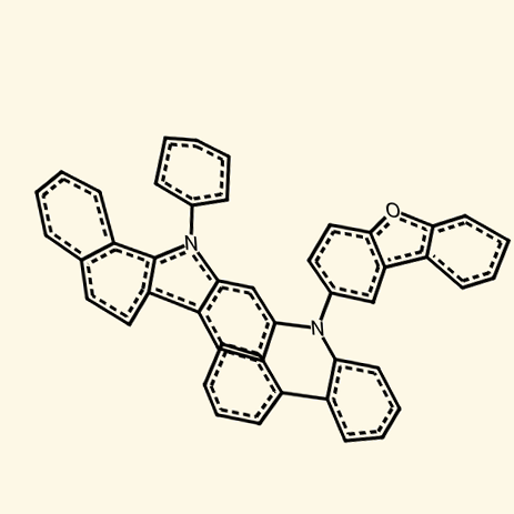 c1ccc(-c2ccccc2N(c2ccc3oc4ccccc4c3c2)c2ccc3c4ccc5ccccc5c4n(-c4ccccc4)c3c2)cc1